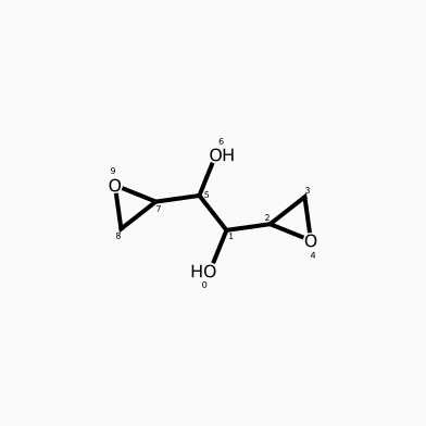 OC(C1CO1)C(O)C1CO1